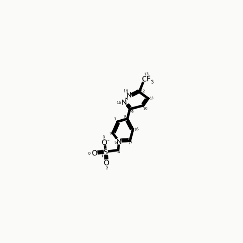 O=S(=O)([O-])C[n+]1ccc(-c2ccc(C(F)(F)F)nn2)cc1